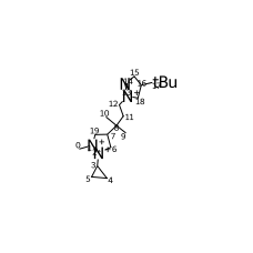 C[N+]1=[N+](C2CC2)CC(C(C)(C)CC[N+]2=NCC(C(C)(C)C)C2)C1